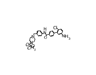 CS(=O)(=O)N1CCN(Cc2ccc(NC(=O)c3ccc(-c4cc(N)ccc4Cl)cc3)cc2)CC1